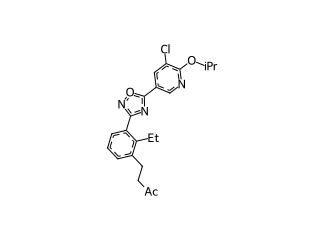 CCc1c(CCC(C)=O)cccc1-c1noc(-c2cnc(OC(C)C)c(Cl)c2)n1